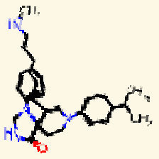 CNCCCCCCC1CN(C2CCC(C(C)C)CC2)CCC12C(=O)NCN2c1ccccc1